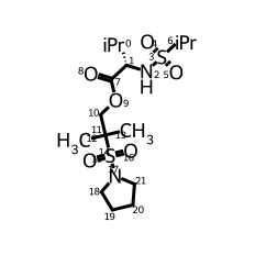 CC(C)[C@H](NS(=O)(=O)C(C)C)C(=O)OCC(C)(C)S(=O)(=O)N1CCCC1